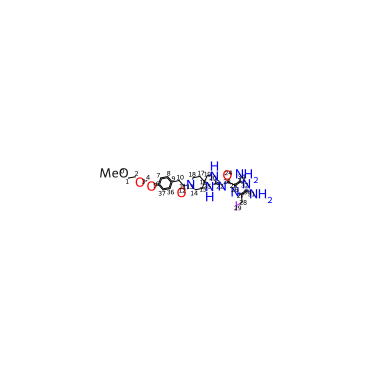 COCCOCOc1ccc(CC(=O)N2CCC3(CC2)CN/C(=N\C(=O)c2nc(CI)c(N)nc2N)N3)cc1